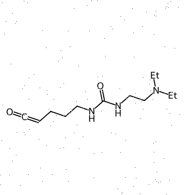 CCN(CC)CCNC(=O)NCCCC=C=O